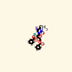 Cc1nc(=O)n(C2OC(COC(=O)c3ccccc3)C(OC(=O)c3ccccc3)C2F)cc1I